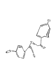 O=C(OC(=O)c1ccc(Cl)cc1)c1ccc(Cl)cc1